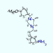 COc1ccc(CN2CCN(CCc3cccc(N)c3)CC2)cc1